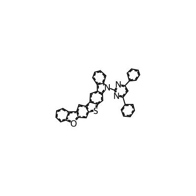 c1ccc(-c2cc(-c3ccccc3)nc(-n3c4ccccc4c4cc5c(cc43)sc3cc4oc6ccccc6c4cc35)n2)cc1